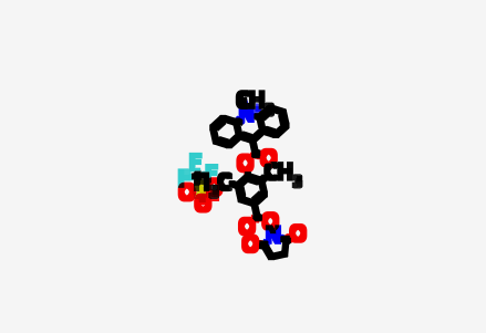 Cc1cc(C(=O)ON2C(=O)CCC2=O)cc(C)c1OC(=O)c1c2ccccc2[n+](C)c2ccccc12.O=S(=O)([O-])C(F)(F)F